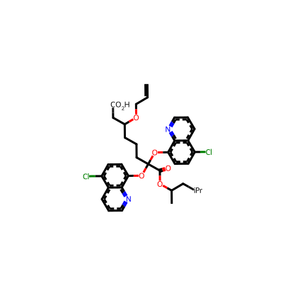 C=CCOC(CCCC(Oc1ccc(Cl)c2cccnc12)(Oc1ccc(Cl)c2cccnc12)C(=O)OC(C)CC(C)C)CC(=O)O